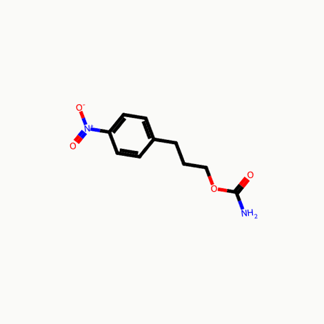 NC(=O)OCCCc1ccc([N+](=O)[O-])cc1